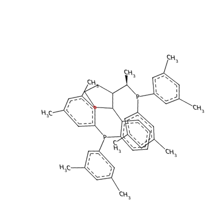 Cc1cc(C)cc(P(c2cc(C)cc(C)c2)c2ccccc2C2CCCC2[C@@H](C)P(c2cc(C)cc(C)c2)c2cc(C)cc(C)c2)c1